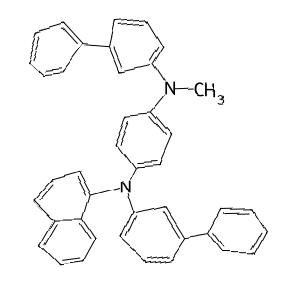 CN(c1ccc(N(c2cccc(-c3ccccc3)c2)c2cccc3ccccc23)cc1)c1cccc(-c2ccccc2)c1